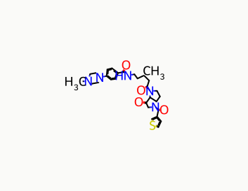 CC(CCNC(=O)c1ccc(N2CCN(C)CC2)cc1)CC(=O)N1CCC2C1C(=O)CN2C(=O)c1ccsc1